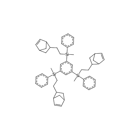 C[Si](CCC1CC2C=CC1C2)(c1ccccc1)c1cc([Si](C)(CCC2CC3C=CC2C3)c2ccccc2)cc([Si](C)(CCC2CC3C=CC2C3)c2ccccc2)c1